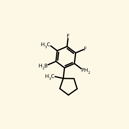 Bc1c(C)c(F)c(F)c(P)c1C1(C)CCCC1